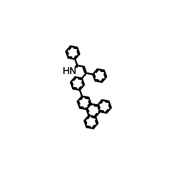 N=C(/C=C(/c1ccccc1)c1cccc(-c2ccc3c4ccccc4c4ccccc4c3c2)c1)c1ccccc1